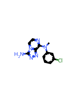 CN(c1cccc(Cl)c1)c1nccn2c(N)nnc12